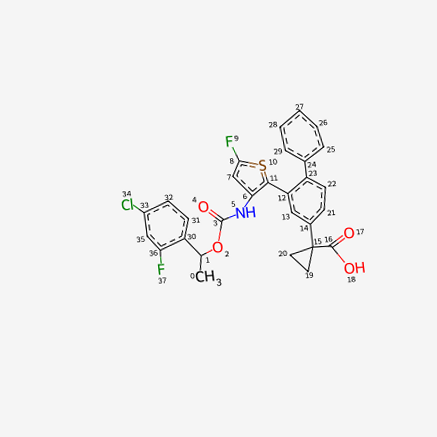 CC(OC(=O)Nc1cc(F)sc1-c1cc(C2(C(=O)O)CC2)ccc1-c1ccccc1)c1ccc(Cl)cc1F